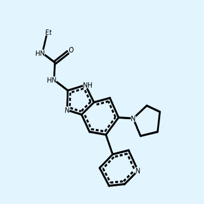 CCNC(=O)Nc1nc2cc(-c3cccnc3)c(N3CCCC3)cc2[nH]1